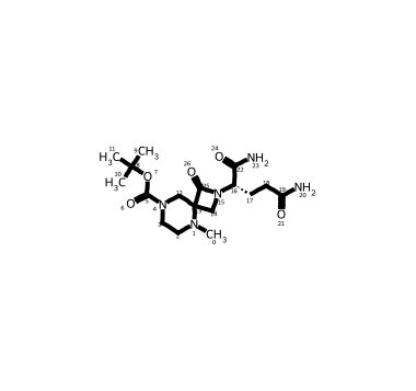 CN1CCN(C(=O)OC(C)(C)C)CC12CN([C@@H](CCC(N)=O)C(N)=O)C2=O